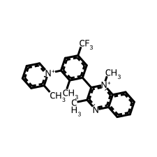 Cc1nc2ccccc2[n+](C)c1-c1cc(C(F)(F)F)cc(-[n+]2ccccc2C)c1C